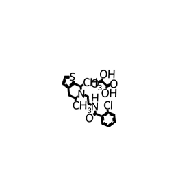 CC1Cc2ccsc2C(C)N1CCNC(=O)c1ccccc1Cl.O=C(O)C(=O)O